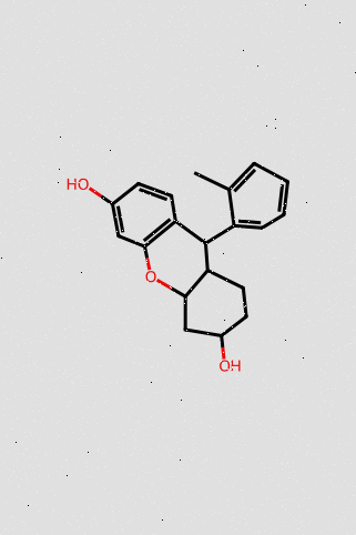 Cc1ccccc1C1c2ccc(O)cc2OC2CC(O)CCC21